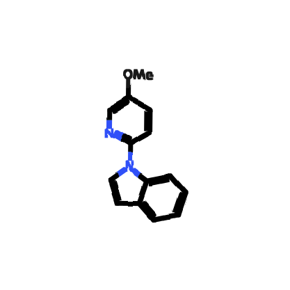 COc1ccc(-n2ccc3ccccc32)nc1